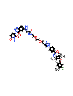 CC1(C)C(NC(=O)c2ccc(-n3cc(CCOCCOCCNC(=O)CNc4ccc5nnn(C6CCC(=O)NC6=O)c(=O)c5c4)nn3)cc2)C(C)(C)C1Oc1ccc(C#N)c(Cl)c1